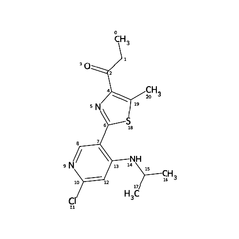 CCC(=O)c1nc(-c2cnc(Cl)cc2NC(C)C)sc1C